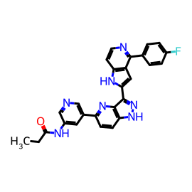 CCC(=O)Nc1cncc(-c2ccc3[nH]nc(-c4cc5c(-c6ccc(F)cc6)nccc5[nH]4)c3n2)c1